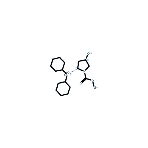 C1CCC(NC2CCCCC2)CC1.CC(C)(C)OC(=O)N1C[C@H](O)C[C@H]1C(=O)O